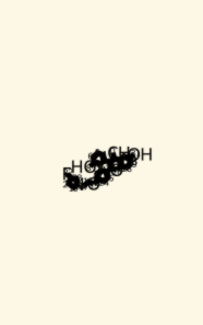 CC1=C(c2cccc(O)c2)C(c2ccc(OCCN3CCC(F)C3)cc2)Oc2ccc(O)cc21